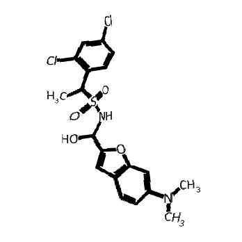 CC(c1ccc(Cl)cc1Cl)S(=O)(=O)NC(O)c1cc2ccc(N(C)C)cc2o1